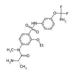 CCOc1cc(N(C)C(=O)[C@H](C)N)ccc1S(=O)(=O)Nc1cccc(OC(F)(F)P)c1